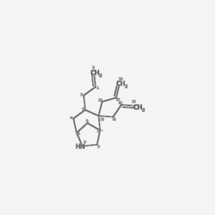 C=CCC1CC2C[C](CN2)C1(CC=C)CC=C